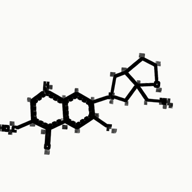 NCC12CN(c3cc4[nH]cc(C(=O)O)c(=O)c4cc3F)CC1CCO2